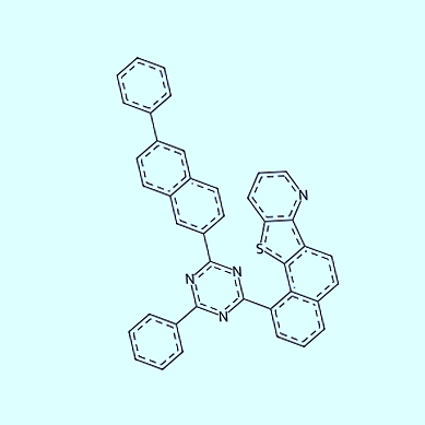 c1ccc(-c2ccc3cc(-c4nc(-c5ccccc5)nc(-c5cccc6ccc7c8ncccc8sc7c56)n4)ccc3c2)cc1